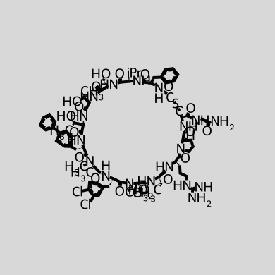 CC(C)[C@@H]1NC(=O)C(Cc2ccccc2)NC(=O)CSC[C@@H](C(=O)NCC(N)=O)NC(=O)[C@@H]2CCCN2C(=O)[C@H](CCCNC(=N)N)NC(=O)[C@H](CC(=O)O)NC(=O)[C@H](C)N(C)C(=O)[C@H](Cc2ccc(Cl)c(Cl)c2)NC(=O)[C@H](C)N(C)C(=O)[C@H](Cc2ccc(-c3ccccc3)cc2)NC(=O)[C@H]([C@@H](C)O)NC(=O)[C@H]([C@@H](C)O)NC(=O)[C@H](CO)NC1=O